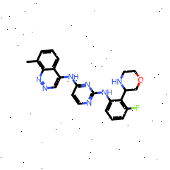 Cc1cccc2c(Nc3ccnc(Nc4cccc(F)c4C4COCCN4)n3)cnnc12